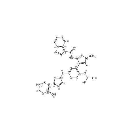 Cn1cc(NC(=O)c2cnn3cccnc23)c(-c2cc(Oc3cnn([C@H]4CNCC[C@@H]4O)c3)ccc2OC(F)F)n1